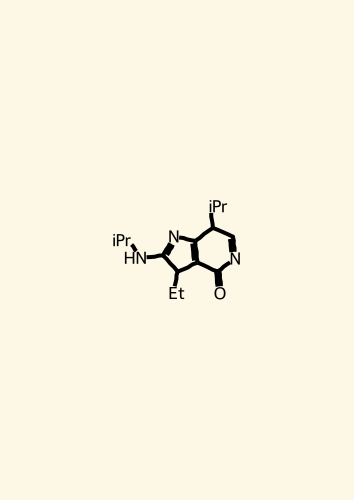 CCC1C(NC(C)C)=NC2=C1C(=O)N=CC2C(C)C